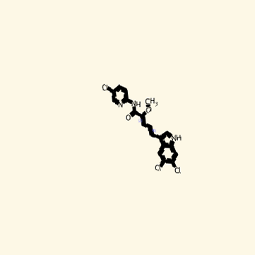 CO/C(=C\C=C\c1c[nH]c2cc(Cl)c(Cl)cc12)C(=O)Nc1ccc(Cl)cn1